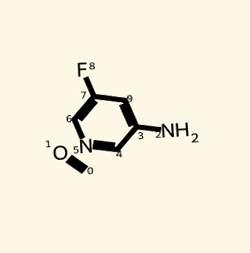 C=O.Nc1cncc(F)c1